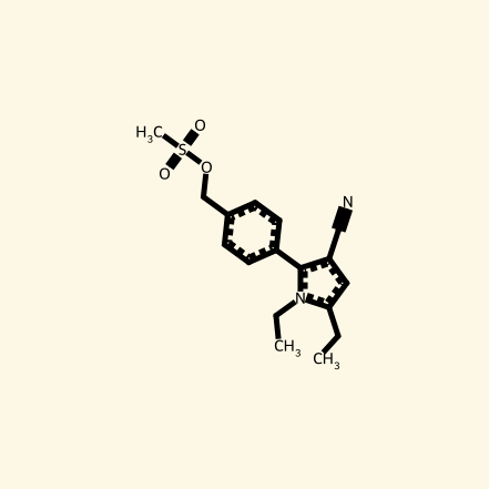 CCc1cc(C#N)c(-c2ccc(COS(C)(=O)=O)cc2)n1CC